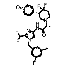 C[C@H](C(=O)Nc1cn(Cc2cc(F)cc(F)c2)c(C(F)F)n1)N1CCC(F)(F)[C@@H](c2cc[n+]([O-])cc2)C1